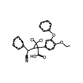 CCOc1ccc(C2(C(=O)O)C(C(C#N)c3ccccc3)C2(Cl)Cl)cc1Oc1ccccc1